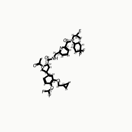 CC(=O)N1CC(c2ccc(OC(F)F)c(OCC3CC3)c2)C[C@@H]1C(=O)NCc1cccc(C(=O)N(CC(F)F)C2CCC(F)(F)CC2)n1